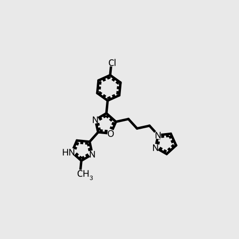 Cc1nc(-c2nc(-c3ccc(Cl)cc3)c(CCCn3cccn3)o2)c[nH]1